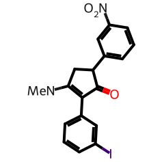 CNC1=C(c2cccc(I)c2)C(=O)C(c2cccc([N+](=O)[O-])c2)C1